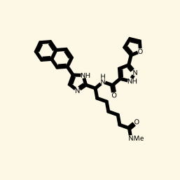 CNC(=O)CCCCCC(NC(=O)c1cc(-c2ccco2)n[nH]1)c1ncc(-c2ccc3ccccc3c2)[nH]1